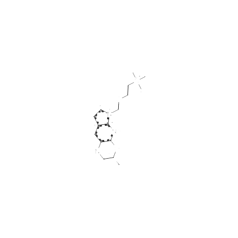 C[C@H]1CNc2cc3ccn(COCC[Si](C)(C)C)c3nc2O1